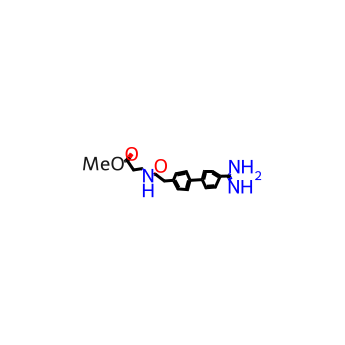 COC(=O)CCNC(=O)Cc1ccc(-c2ccc(C(=N)N)cc2)cc1